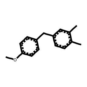 COc1ccc(Cc2ccc(C)c(C)c2)cc1